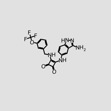 Nc1n[nH]c2ccc(Nc3c(NCc4cccc(OC(F)(F)F)c4)c(=O)c3=O)cc12